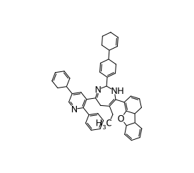 CCC1=C(C2=C3OC4C=CC=CC4C3CC=C2)NC(C2=CCC(C3C=CCCC3)C=C2)N=C(c2cc(C3C=CC=CC3)cnc2-c2ccccc2)C1